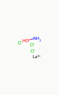 NO.[Cl-].[Cl-].[Cl-].[La+3]